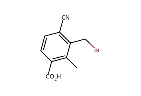 Cc1c(C(=O)O)ccc(C#N)c1CBr